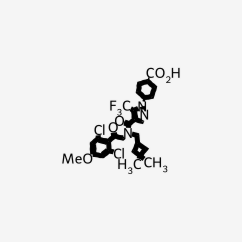 COc1cc(Cl)c(C(=O)CN(CC2CC(C)(C)C2)C(=O)c2cnn([C@H]3CC[C@H](C(=O)O)CC3)c2C(F)(F)F)c(Cl)c1